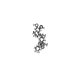 COc1cc2ncnc(Nc3ccc(NS(=O)(=O)c4ccccc4)cc3)c2cc1OC